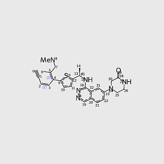 C#C/C=C\C(=C(/C)CNC)c1ccc([C@@H](C)Nc2nncc3ccc(N4CCNC(=O)C4)cc23)s1